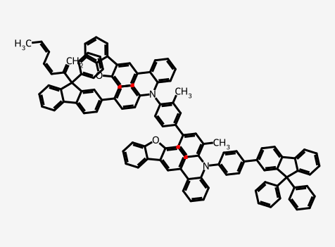 C=C(/C=C\C=C/C)C1(c2ccccc2)c2ccccc2-c2ccc(-c3ccc(N(c4ccc(-c5ccc(N(c6ccc(-c7ccc8c(c7)C(c7ccccc7)(c7ccccc7)c7ccccc7-8)cc6)c6ccccc6-c6ccc7oc8ccccc8c7c6)c(C)c5)cc4C)c4ccccc4-c4ccc5oc6ccccc6c5c4)cc3)cc21